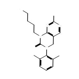 Cc1cccc(C)c1N1Cc2cnc(Cl)nc2N(CCCCO)C1=O